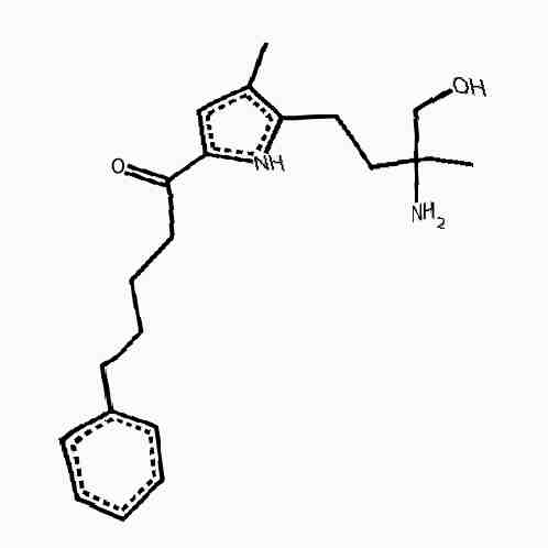 Cc1cc(C(=O)CCCCc2ccccc2)[nH]c1CCC(C)(N)CO